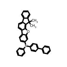 CC1(C)c2ccccc2-c2ccc3c(oc4cc(N(c5ccccc5)c5ccc(-c6ccccc6)cc5)ccc43)c21